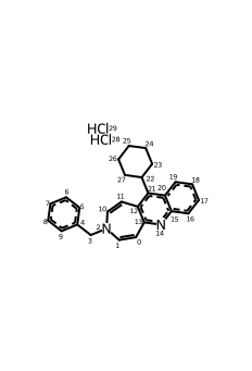 C1=CN(Cc2ccccc2)C=Cc2c1nc1ccccc1c2C1CCCCC1.Cl.Cl